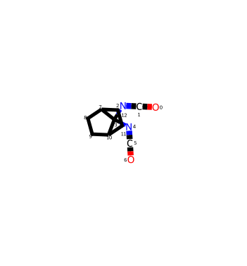 O=C=NC1(N=C=O)C2CCC1CC2